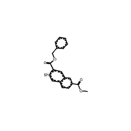 COC(=O)c1ccc2ccc(C(=O)OCc3ccccc3)cc2c1.N